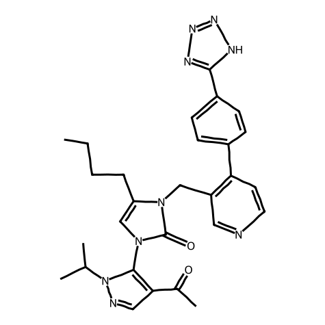 CCCCc1cn(-c2c(C(C)=O)cnn2C(C)C)c(=O)n1Cc1cnccc1-c1ccc(-c2nnn[nH]2)cc1